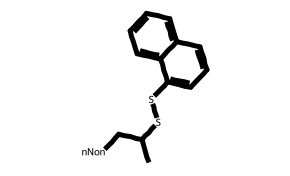 CCCCCCCCCCC(C)SSc1cccc2ccccc12